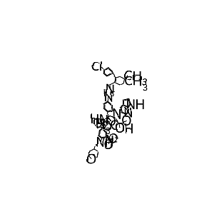 CC1(C)CCC(CN2CCN(c3ccc(C(=O)NS(=O)(=O)c4ccc(NCC5CCOCC5)c([N+](=O)[O-])c4)c(N4C[C@](C)(O)COc5nc6[nH]ccc6cc54)c3)CC2)=C(c2ccc(Cl)cc2)C1